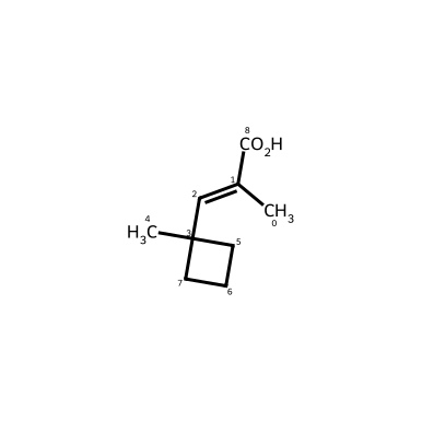 CC(=CC1(C)CCC1)C(=O)O